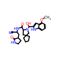 COc1cccc2[nH]c(C(O)N3CC4(CCCC4)CC3C(=O)NC(C#N)CC3CCNC3=O)cc12